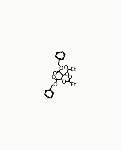 CCC(=O)OC(C(=O)OCc1ccccc1)C(OC(=O)CC)C(=O)OCc1ccccc1